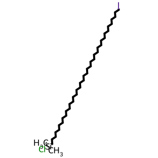 C[Si](C)(Cl)CCCCCCCCCCCCCCCCCCCCCCCCCCCCCCCCCCCCCCCI